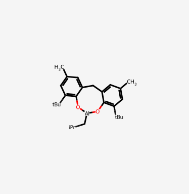 Cc1cc2c(c(C(C)(C)C)c1)[O][Al]([CH2]C(C)C)[O]c1c(cc(C)cc1C(C)(C)C)C2